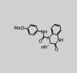 CCC[C@H]1C(=O)Nc2ccccc2N1C(=O)Nc1ccc(OC)cc1